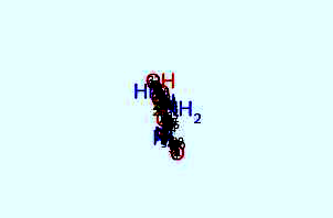 COc1ccc(Cn2c(C)nnc2-c2ccc(C)c(OCc3csc4c(OC(=O)NCCO)cnc(N)c34)c2)cc1